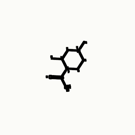 CC1CN(C)CCN1C(=O)O